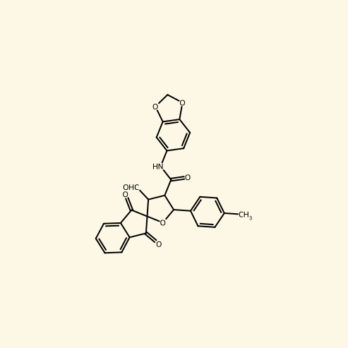 Cc1ccc(C2OC3(C(=O)c4ccccc4C3=O)C(C=O)C2C(=O)Nc2ccc3c(c2)OCO3)cc1